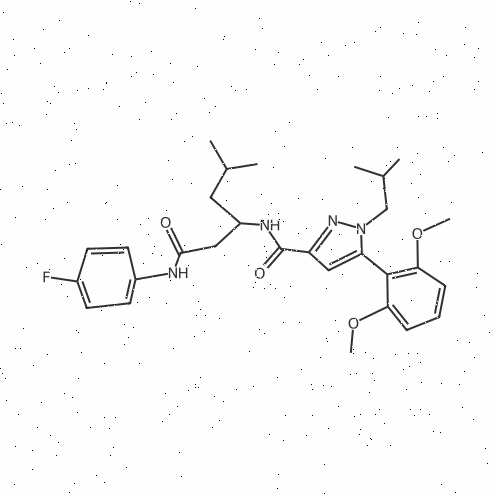 COc1cccc(OC)c1-c1cc(C(=O)NC(CC(=O)Nc2ccc(F)cc2)CC(C)C)nn1CC(C)C